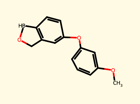 COc1cccc(Oc2ccc3c(c2)COB3)c1